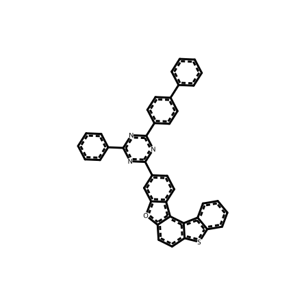 c1ccc(-c2ccc(-c3nc(-c4ccccc4)nc(-c4ccc5c(c4)oc4ccc6sc7ccccc7c6c45)n3)cc2)cc1